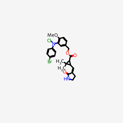 COc1ccc(COC(=O)C2C(C=C3CCNC3=O)C2(C)C)cc1N(Cl)c1ccc(Br)cc1